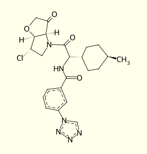 C[C@H]1CC[C@H](C(NC(=O)c2cccc(-n3cnnn3)c2)C(=O)N2C[C@H](Cl)[C@H]3OCC(=O)[C@H]32)CC1